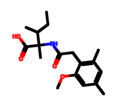 CCC(C)C(C)(NC(=O)Cc1c(C)cc(C)cc1OC)C(=O)O